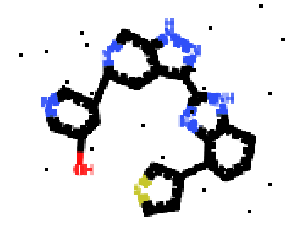 Oc1cncc(-c2cc3c(-c4nc5c(-c6ccsc6)cccc5[nH]4)n[nH]c3cn2)c1